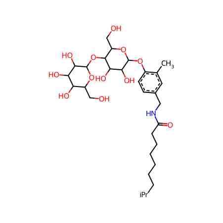 Cc1cc(CNC(=O)CCCCCCC(C)C)ccc1OC1OC(CO)C(OC2OC(CO)C(O)C(O)C2O)C(O)C1O